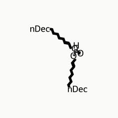 CCCCCCCCCCCCCCCC=CCO[PH](=O)OCC=CCCCCCCCCCCCCCCC